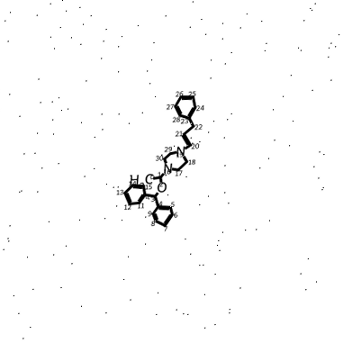 CC(OC(c1ccccc1)c1ccccc1)N1CCN(C=CCc2ccccc2)CC1